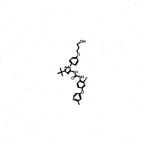 Cc1cc(Oc2ccc(NC(=O)Nc3cc(C(C)(C)C)nn3-c3ccc(OCCCO)cc3)c(F)c2)ccn1